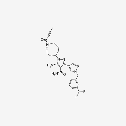 CC#CC(=O)N1CCCC(n2nc(-c3cnn(Cc4cccc(C(F)F)c4)c3)c(C(N)=O)c2N)CCC1